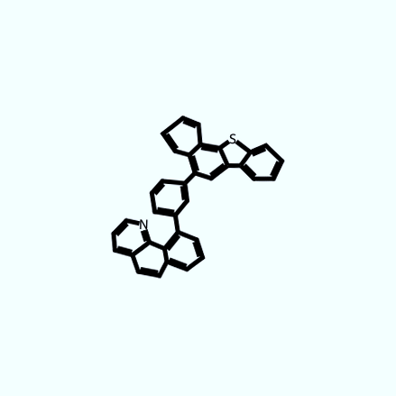 c1cc(-c2cc3c4ccccc4sc3c3ccccc23)cc(-c2cccc3ccc4cccnc4c23)c1